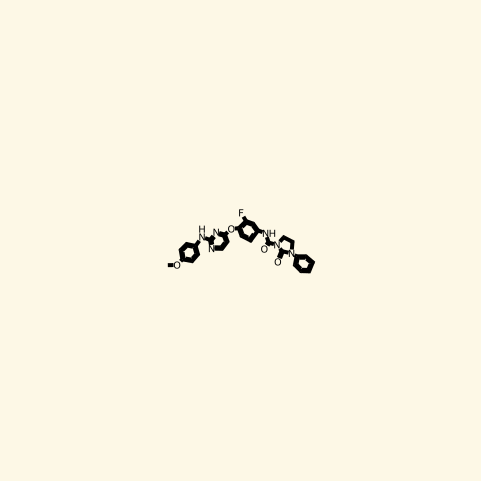 COc1ccc(Nc2nccc(Oc3ccc(NC(=O)N4CCN(c5ccccc5)C4=O)cc3F)n2)cc1